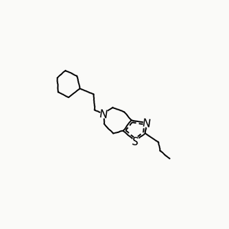 CCCc1nc2c(s1)CCN(CCC1CCCCC1)CC2